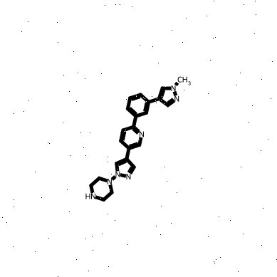 Cn1cc(-c2cccc(-c3ccc(-c4cnn(N5CCNCC5)c4)cn3)c2)cn1